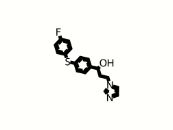 OC(CCn1ccnc1)c1ccc(Sc2ccc(F)cc2)cc1